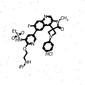 CCS(=O)(=O)Nc1cc(-c2cc3c4c(cnc3cc2F)N(C)C(=O)C42CN(c3ccccc3)C2)cnc1OCCNC(C)C.Cl